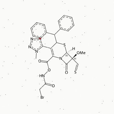 CO[C@@]1(C=S)C(=O)N2C(C(=O)ONC(=O)CBr)=C(c3nnnn3C)C(C(c3ccccc3)c3ccccc3)S[C@H]21